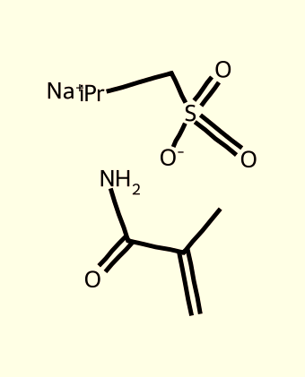 C=C(C)C(N)=O.CC(C)CS(=O)(=O)[O-].[Na+]